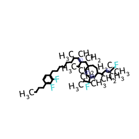 C=C(C)/C(C(=C)C1/C=C\C(C(C)(F)C(C)C)=C/C(C(=C)/C=C(\C)C(C)(C)F)CC1)=C(/C)C(C)CCCCCCc1ccc(CCCC)c(F)c1F